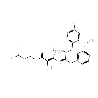 CNC(/N=C(/Cc1cccc(OC(F)(F)F)c1)C(C)Cc1ccc(C)cn1)=C(/C)C(=O)NCCC(C)O